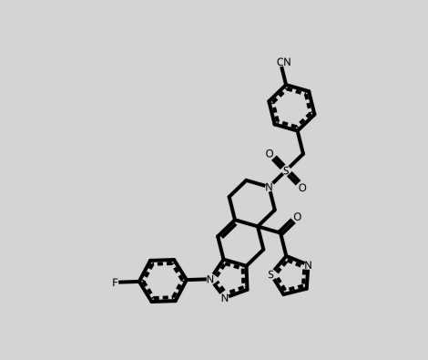 N#Cc1ccc(CS(=O)(=O)N2CCC3=Cc4c(cnn4-c4ccc(F)cc4)CC3(C(=O)c3nccs3)C2)cc1